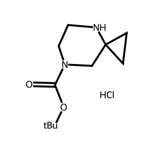 CC(C)(C)OC(=O)N1CCNC2(CC2)C1.Cl